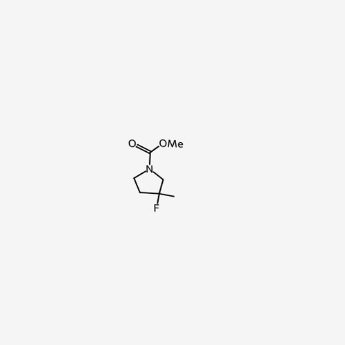 COC(=O)N1CCC(C)(F)C1